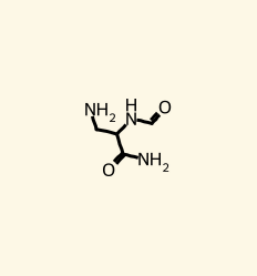 NCC(NC=O)C(N)=O